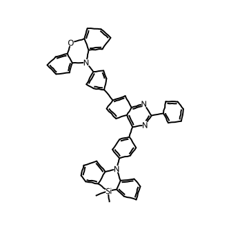 C[Si]1(C)c2ccccc2N(c2ccc(-c3nc(-c4ccccc4)nc4cc(-c5ccc(N6c7ccccc7Oc7ccccc76)cc5)ccc34)cc2)c2ccccc21